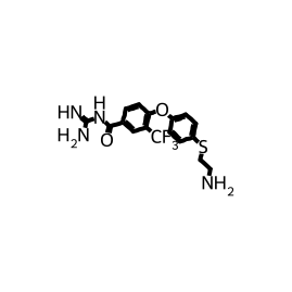 N=C(N)NC(=O)c1ccc(Oc2ccc(SCCN)cc2)c(C(F)(F)F)c1